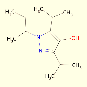 CCC(C)n1nc(C(C)C)c(O)c1C(C)C